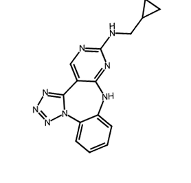 c1ccc2c(c1)Nc1nc(NCC3CC3)ncc1-c1nnnn1-2